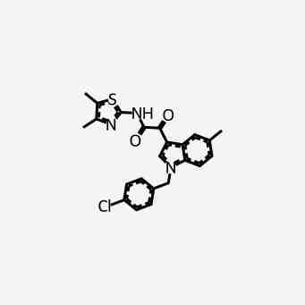 Cc1ccc2c(c1)c(C(=O)C(=O)Nc1nc(C)c(C)s1)cn2Cc1ccc(Cl)cc1